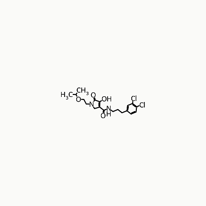 CC(C)OCCN1CC(C(=O)NCCCc2ccc(Cl)c(Cl)c2)=C(O)C1=O